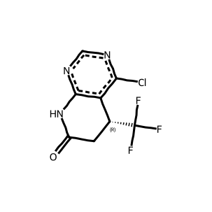 O=C1C[C@@H](C(F)(F)F)c2c(Cl)ncnc2N1